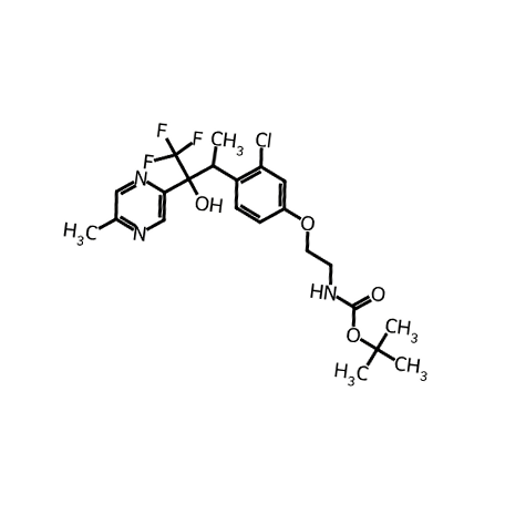 Cc1cnc(C(O)(C(C)c2ccc(OCCNC(=O)OC(C)(C)C)cc2Cl)C(F)(F)F)cn1